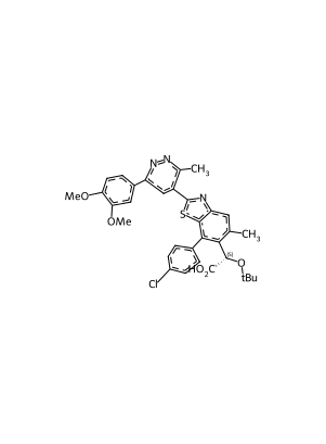 COc1ccc(-c2cc(-c3nc4cc(C)c([C@H](OC(C)(C)C)C(=O)O)c(-c5ccc(Cl)cc5)c4s3)c(C)nn2)cc1OC